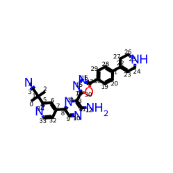 CC(C)(C#N)c1cc(-c2cnc(N)c(-c3nnc(-c4ccc(C5=CCNCC5)cc4)o3)n2)ccn1